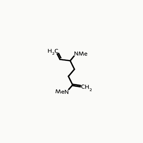 C=CC(CCC(=C)NC)NC